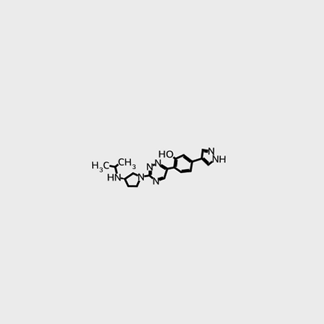 CC(C)N[C@@H]1CCN(c2ncc(-c3ccc(-c4cn[nH]c4)cc3O)nn2)C1